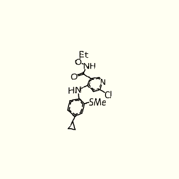 CCONC(=O)c1cnc(Cl)cc1Nc1ccc(C2CC2)cc1SC